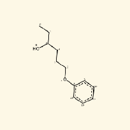 CCC(O)CCCOc1c[c]ccc1